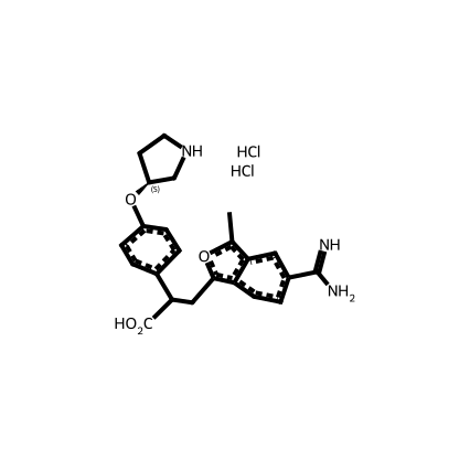 Cc1oc(CC(C(=O)O)c2ccc(O[C@H]3CCNC3)cc2)c2ccc(C(=N)N)cc12.Cl.Cl